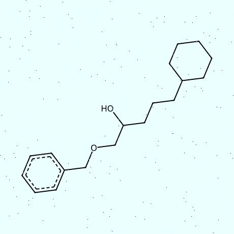 OC(CCCC1CCCCC1)COCc1ccccc1